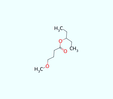 CCC(CC)OC(=O)CCCOC